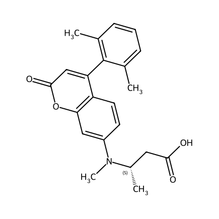 Cc1cccc(C)c1-c1cc(=O)oc2cc(N(C)[C@@H](C)CC(=O)O)ccc12